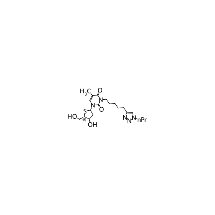 CCCn1cc(CCCCCn2c(=O)c(C)cn(C3CC(O)[C@@H](CO)S3)c2=O)nn1